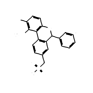 COc1c(F)ccc2c1-c1ccc(CS(N)(=O)=O)cc1C(c1ccccc1)O2